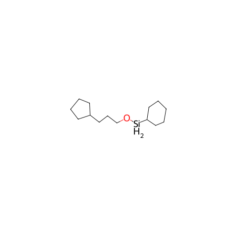 C1CCC([SiH2]OCCCC2CCCC2)CC1